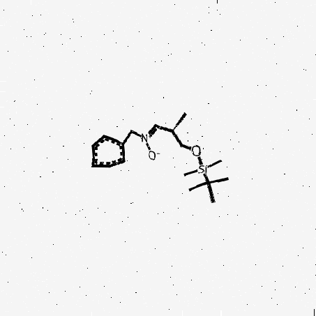 C[C@H](C=[N+]([O-])Cc1ccccc1)CO[Si](C)(C)C(C)(C)C